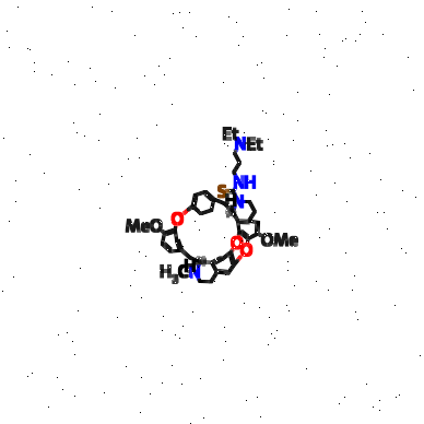 CCN(CC)CCCNC(=S)N1CCc2cc(OC)c3c4c2[C@@H]1CC1=CC=C(CC1)Oc1cc(ccc1OC)C[C@H]1c2cc(c(cc2CCN1C)O3)O4